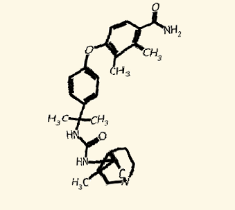 Cc1c(Oc2ccc(C(C)(C)NC(=O)NC3(C)CN4CCC3CC4)cc2)ccc(C(N)=O)c1C